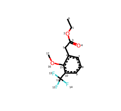 CCOC(=O)Cc1cccc(C(F)(F)F)c1OC